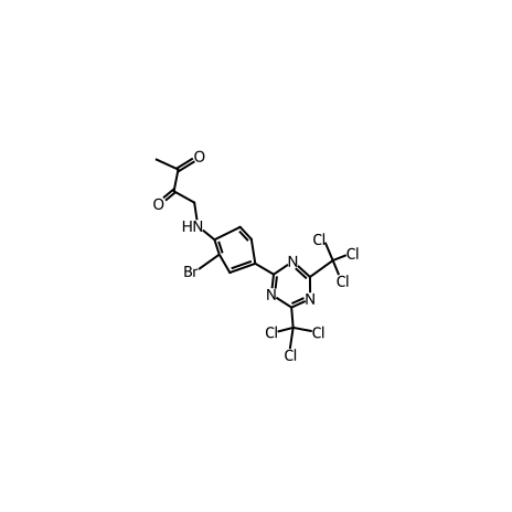 CC(=O)C(=O)CNc1ccc(-c2nc(C(Cl)(Cl)Cl)nc(C(Cl)(Cl)Cl)n2)cc1Br